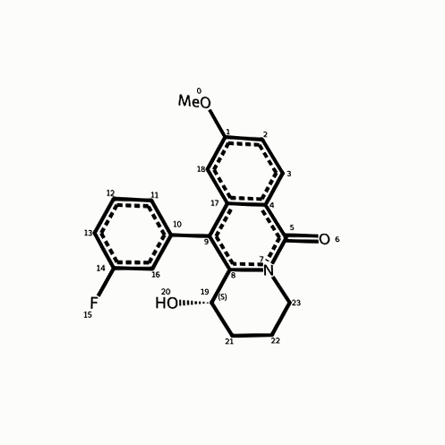 COc1ccc2c(=O)n3c(c(-c4cccc(F)c4)c2c1)[C@@H](O)CCC3